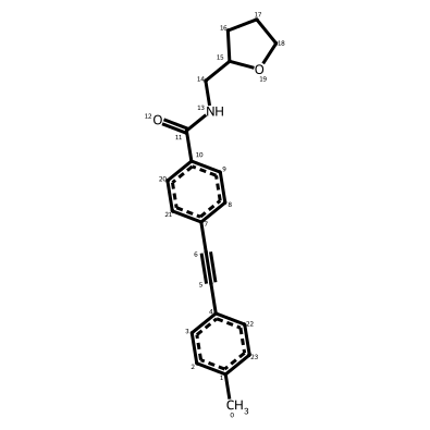 Cc1ccc(C#Cc2ccc(C(=O)NCC3CCCO3)cc2)cc1